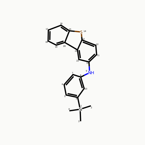 C[Si](C)(C)c1cccc(Nc2ccc3sc4ccccc4c3c2)c1